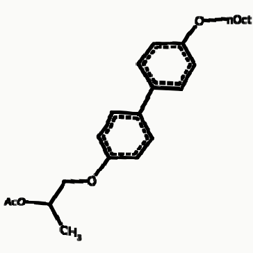 CCCCCCCCOc1ccc(-c2ccc(OCC(C)OC(C)=O)cc2)cc1